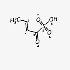 CC=CC(=O)S(=O)(=O)O